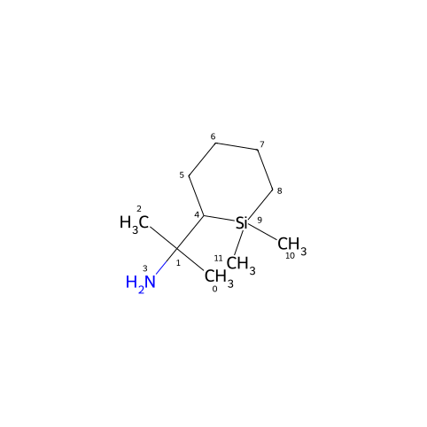 CC(C)(N)C1CCCC[Si]1(C)C